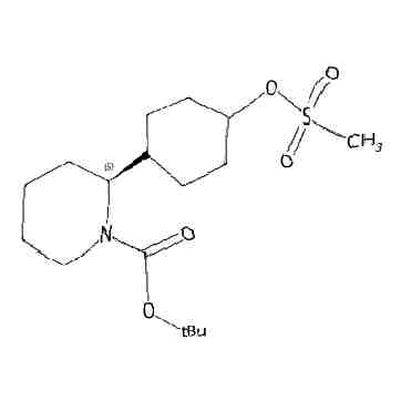 CC(C)(C)OC(=O)N1CCCC[C@H]1C1CCC(OS(C)(=O)=O)CC1